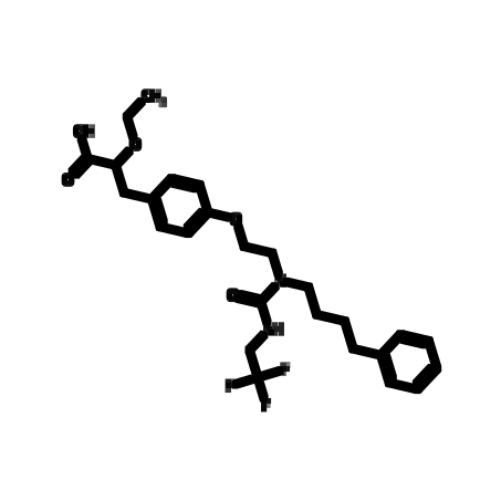 CCOC(Cc1ccc(OCCN(CCCCc2ccccc2)C(=O)NCC(F)(F)F)cc1)C(=O)O